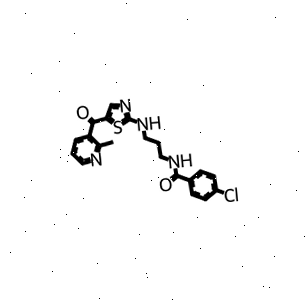 Cc1ncccc1C(=O)c1cnc(NCCCNC(=O)c2ccc(Cl)cc2)s1